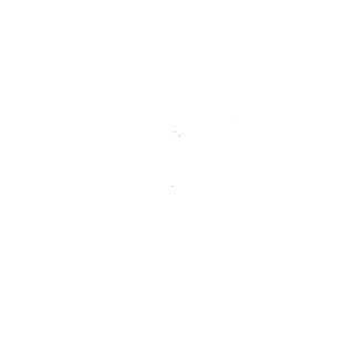 CCOCC(CC)Nc1c(C)cccc1Br